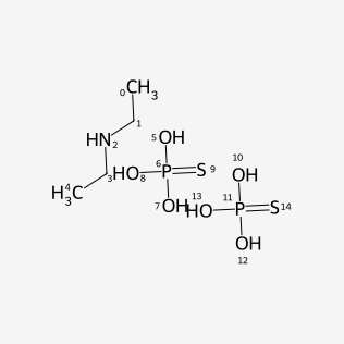 CCNCC.OP(O)(O)=S.OP(O)(O)=S